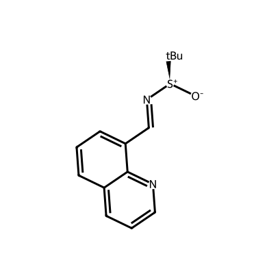 CC(C)(C)[S@@+]([O-])N=Cc1cccc2cccnc12